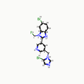 FCn1c(-c2cncc(Cn3cncc3Br)c2)nc2ccc(Br)cc21